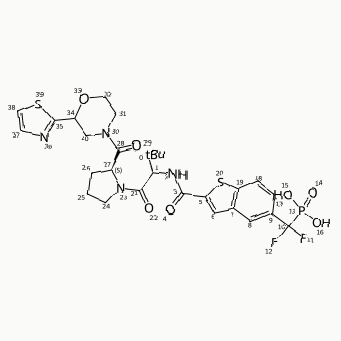 CC(C)(C)C(NC(=O)c1cc2cc(C(F)(F)P(=O)(O)O)ccc2s1)C(=O)N1CCC[C@H]1C(=O)N1CCOC(c2nccs2)C1